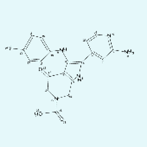 Nc1cc(-c2[nH]c3c(c2Nc2ccc(F)cc2)C(=O)CN(C(=O)O)C3)ccn1